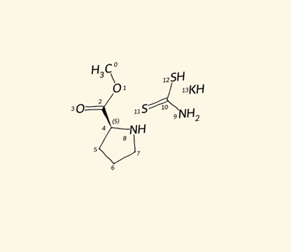 COC(=O)[C@@H]1CCCN1.NC(=S)S.[KH]